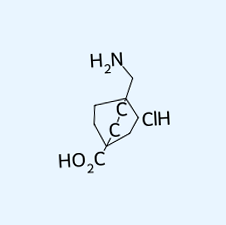 Cl.NCC12CCC(C(=O)O)(CC1)CC2